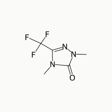 Cn1nc(C(F)(F)F)n(C)c1=O